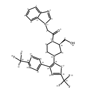 O=C(Cn1cnc2ccccc21)N1CCN(c2sc(C(F)(F)F)nc2-c2cnc(C(F)(F)F)nc2)C[C@@H]1CO